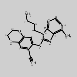 C#Cc1cc2c(cc1Sc1nc3c(N)ncnc3n1CCCN)OCCO2